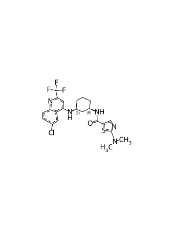 CN(C)c1ncc(C(=O)N[C@@H]2CCC[C@H](Nc3cc(C(F)(F)F)nc4ccc(Cl)cc34)C2)s1